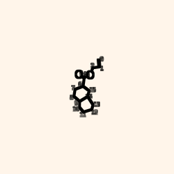 C=CCOC(=O)C1CCC2CCCCC2C1